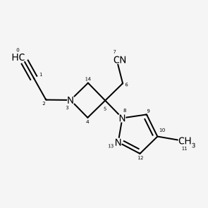 C#CCN1CC(CC#N)(n2cc(C)cn2)C1